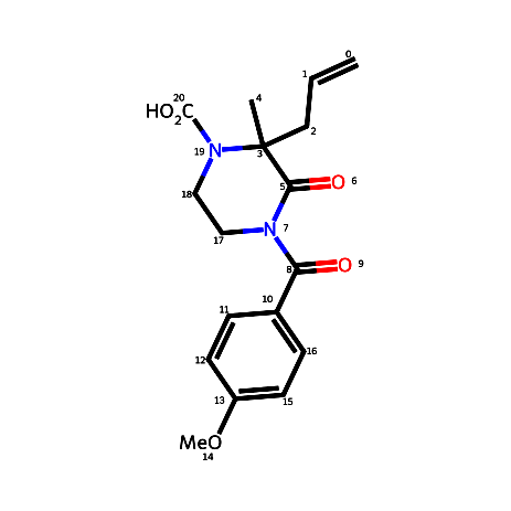 C=CCC1(C)C(=O)N(C(=O)c2ccc(OC)cc2)CCN1C(=O)O